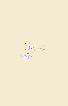 O=c1c2cc3c(cc2c2ccc4c(c5cccnc5n4-c4ccccc4)c2c(=O)n1-c1ccccc1)oc1ccccc13